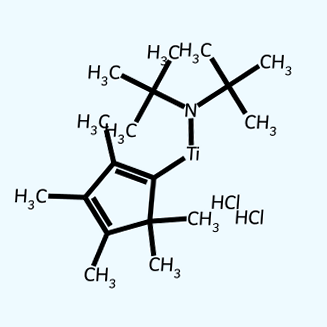 CC1=C(C)C(C)(C)[C]([Ti][N](C(C)(C)C)C(C)(C)C)=C1C.Cl.Cl